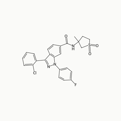 CC1(NC(=O)c2ccc3c(-c4ccccc4Cl)nn(-c4ccc(F)cc4)c3c2)CCS(=O)(=O)C1